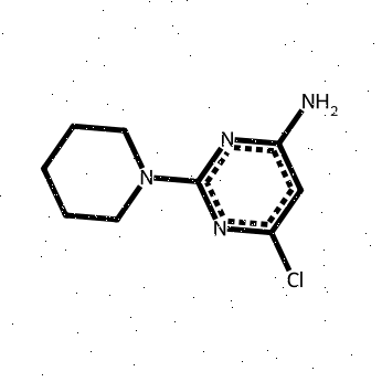 Nc1cc(Cl)nc(N2CCCCC2)n1